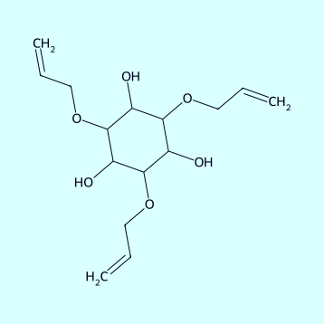 C=CCOC1C(O)C(OCC=C)C(O)C(OCC=C)C1O